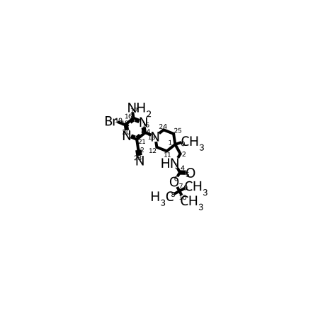 CC1(CNC(=O)OC(C)(C)C)CCN(c2nc(N)c(Br)nc2C#N)CC1